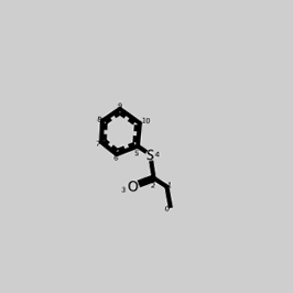 CCC(=O)Sc1ccccc1